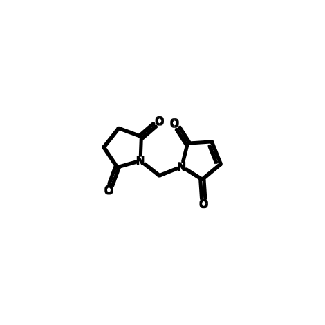 O=C1C=CC(=O)N1CN1C(=O)CCC1=O